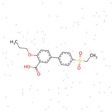 CCCOc1ccc(-c2ccc(S(=O)(=O)CC)cc2)cc1C(=O)O